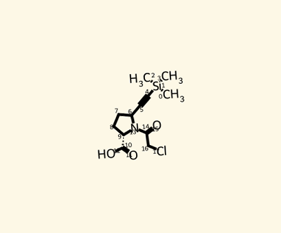 C[Si](C)(C)C#CC1CC[C@@H](C(=O)O)N1C(=O)CCl